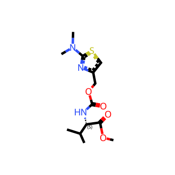 COC(=O)[C@@H](NC(=O)OCc1csc(N(C)C)n1)C(C)C